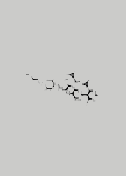 COCCSN1CCC(CNc2nc3cnc(-c4c(C)ncnc4C4CC4)nc3n(C(C)C3CC3)c2=O)CC1